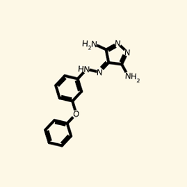 NC1=NN=C(N)C1=NNc1cccc(Oc2ccccc2)c1